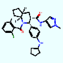 Cc1cccc(F)c1C(=O)N1[C@@H]2CCC[C@@H]2C[C@H](C(=O)Nc2cnn(C)c2)[C@@H]1c1ccc(NC2CCCC2)cc1